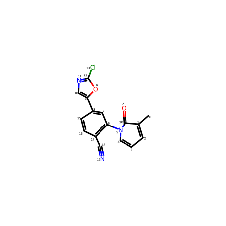 Cc1cccn(-c2cc(-c3cnc(Cl)o3)ccc2C#N)c1=O